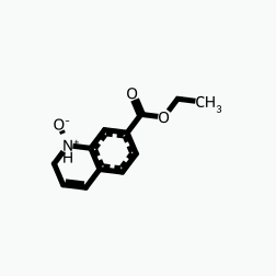 CCOC(=O)c1ccc2c(c1)[NH+]([O-])CC=C2